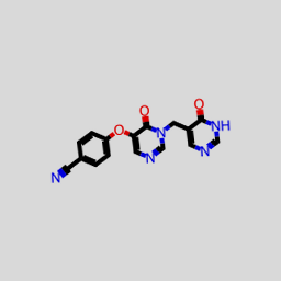 N#Cc1ccc(Oc2cncn(Cc3cnc[nH]c3=O)c2=O)cc1